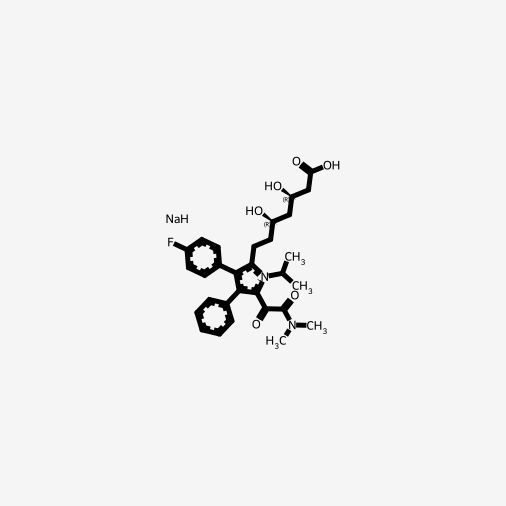 CC(C)n1c(CC[C@@H](O)C[C@@H](O)CC(=O)O)c(-c2ccc(F)cc2)c(-c2ccccc2)c1C(=O)C(=O)N(C)C.[NaH]